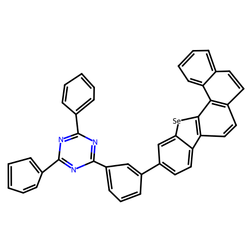 c1ccc(-c2nc(-c3ccccc3)nc(-c3cccc(-c4ccc5c(c4)[se]c4c5ccc5ccc6ccccc6c54)c3)n2)cc1